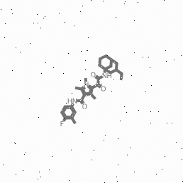 CCC1CC2CCCC(NC(=O)C(=O)c3c(C)c(C(=O)Nc4ccc(F)c(C)c4)c(C)n3C)(C1)C2